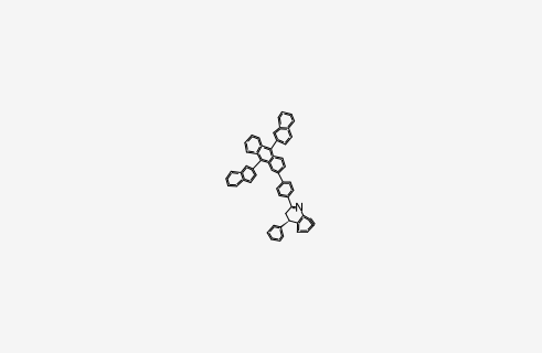 c1ccc2c(c#1)N=C(c1ccc(-c3ccc4c(-c5ccc6ccccc6c5)c5ccccc5c(-c5ccc6ccccc6c5)c4c3)cc1)C[C@@H]2c1ccccc1